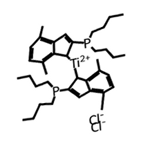 CCCCP(CCCC)C1=Cc2c(C)ccc(C)c2[CH]1[Ti+2][CH]1C(P(CCCC)CCCC)=Cc2c(C)ccc(C)c21.[Cl-].[Cl-]